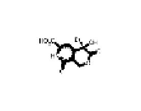 CC[C@@]1(O)C(=O)OCc2c1cc(C(=O)O)[nH]c2=O